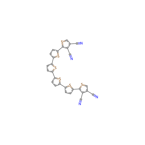 N#Cc1csc(-c2ccc(-c3ccc(-c4ccc(-c5ccc(-c6scc(C#N)c6C#N)s5)s4)s3)s2)c1C#N